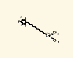 CCOC(OCC)O[SiH2]CCCCCCCCCCc1c(F)c(F)c(F)c(F)c1F